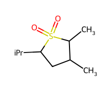 CC(C)C1CC(C)C(C)S1(=O)=O